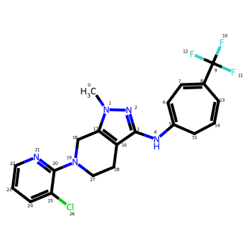 Cn1nc(NC2=CC=C(C(F)(F)F)C=CC2)c2c1CN(c1ncccc1Cl)CC2